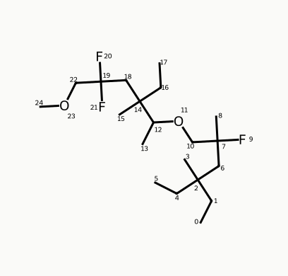 CCC(C)(CC)CC(C)(F)COC(C)C(C)(CC)CC(F)(F)COC